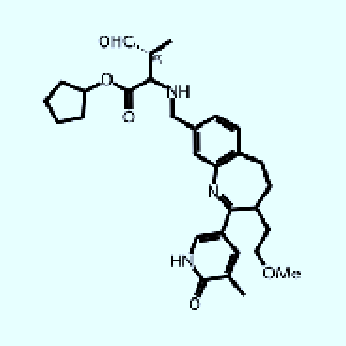 COCCC1CCc2ccc(CNC(C(=O)OC3CCCC3)[C@@H](C)C=O)cc2N=C1c1c[nH]c(=O)c(C)c1